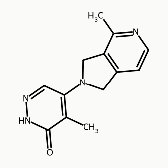 Cc1nccc2c1CN(c1cn[nH]c(=O)c1C)C2